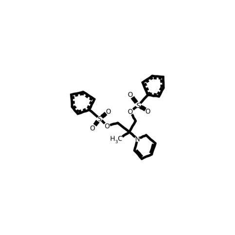 CC(COS(=O)(=O)c1ccccc1)(COS(=O)(=O)c1ccccc1)N1C=CC=CC1